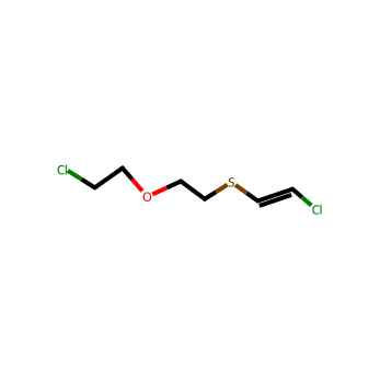 ClC=CSCCOCCCl